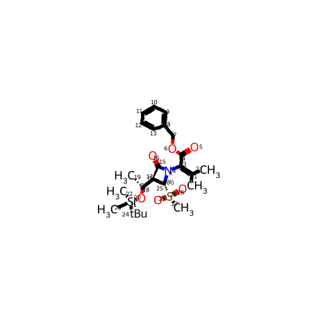 CC(C)=C(C(=O)OCc1ccccc1)N1C(=O)[C@H]([C@@H](C)O[Si](C)(C)C(C)(C)C)[C@H]1S(C)(=O)=O